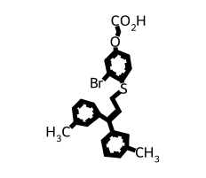 Cc1cccc(C(=CCSc2ccc(OCC(=O)O)cc2Br)c2cccc(C)c2)c1